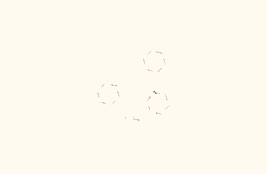 O=Cc1ccccc1.OC(c1ccccc1)C(O)c1ccccc1